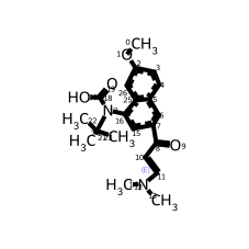 COc1ccc2cc(C(=O)/C=C/N(C)C)cc(N(C(=O)O)C(C)(C)C)c2c1